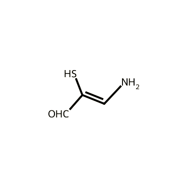 N/C=C(\S)C=O